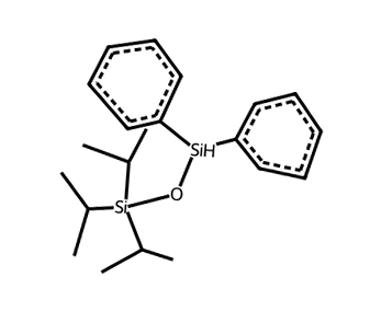 CC(C)[Si](O[SiH](c1ccccc1)c1ccccc1)(C(C)C)C(C)C